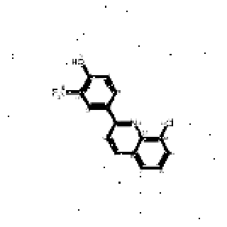 Oc1ccc(-c2ccc3cccc(Cl)c3n2)cc1C(F)(F)F